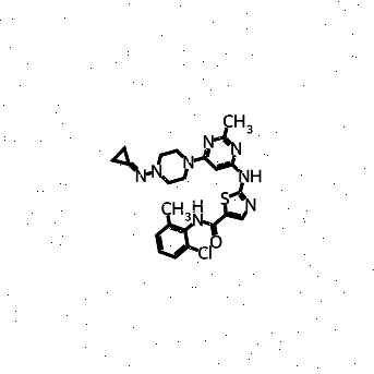 Cc1nc(Nc2ncc(C(=O)Nc3c(C)cccc3Cl)s2)cc(N2CCN(N=C3CC3)CC2)n1